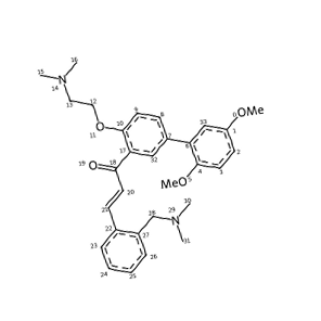 COc1ccc(OC)c(-c2ccc(OCCN(C)C)c(C(=O)C=Cc3ccccc3CN(C)C)c2)c1